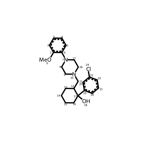 COc1ccccc1N1CCN(CC2CCCCC2(O)c2cccc(Cl)c2)CC1